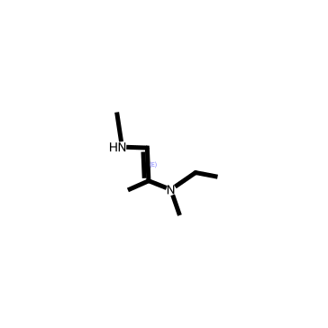 CCN(C)/C(C)=C/NC